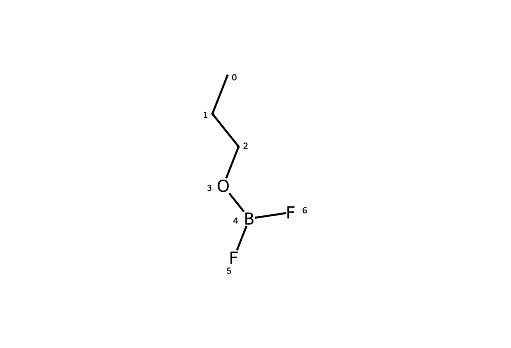 CCCOB(F)F